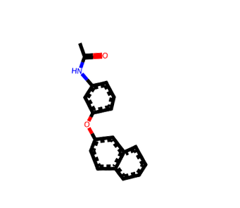 CC(=O)Nc1cccc(Oc2ccc3ccccc3c2)c1